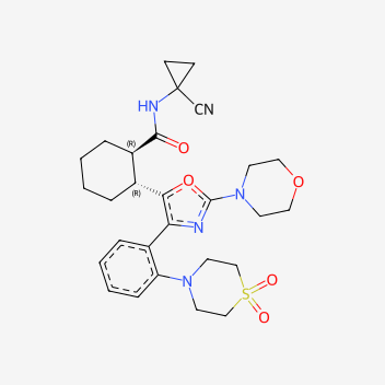 N#CC1(NC(=O)[C@@H]2CCCC[C@H]2c2oc(N3CCOCC3)nc2-c2ccccc2N2CCS(=O)(=O)CC2)CC1